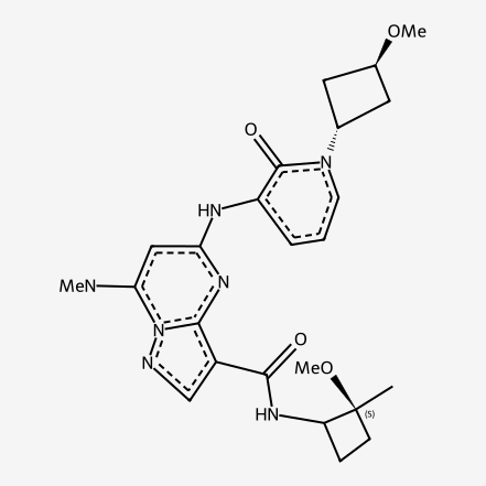 CNc1cc(Nc2cccn([C@H]3C[C@H](OC)C3)c2=O)nc2c(C(=O)NC3CC[C@]3(C)OC)cnn12